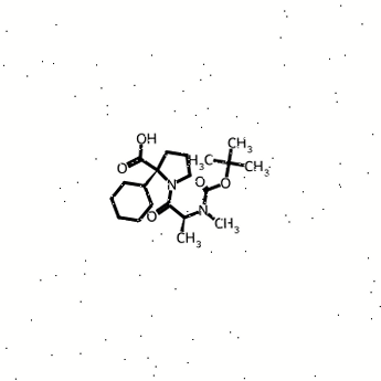 C[C@@H](C(=O)N1CCC[C@]1(C(=O)O)C1CCCCC1)N(C)C(=O)OC(C)(C)C